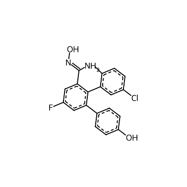 Cc1ccc(Cl)cc1-c1c(/C(N)=N/O)cc(F)cc1-c1ccc(O)cc1